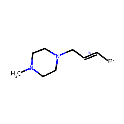 CC(C)/C=C/CN1CCN(C)CC1